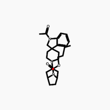 CCCCOC(=O)N1C2CCC1CC(N1CCC3(CC1)CN(C(C)=O)c1ccccc13)C2